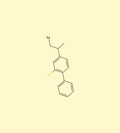 [2H]CC(C)c1ccc(-c2ccccc2)c(F)c1